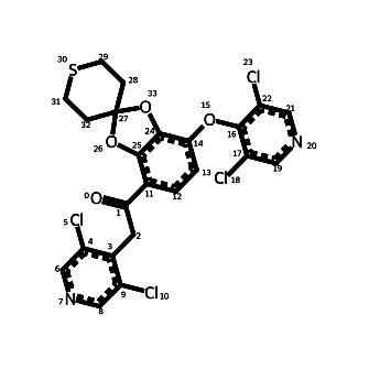 O=C(Cc1c(Cl)cncc1Cl)c1ccc(Oc2c(Cl)cncc2Cl)c2c1OC1(CCSCC1)O2